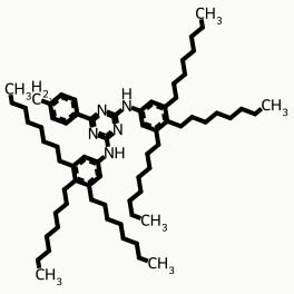 [CH2]c1ccc(-c2nc(Nc3cc(CCCCCCCC)c(CCCCCCCC)c(CCCCCCCC)c3)nc(Nc3cc(CCCCCCCC)c(CCCCCCCC)c(CCCCCCCC)c3)n2)cc1